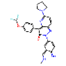 CN/C=C1/C=C(n2nc3ccc(N4CCCC4)nc3c(-c3ccc(OC(F)F)cc3)c2=O)C=CC1=N